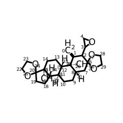 C=C1C(C2CO2)C2(C[C@@H]3CC[C@@H]4[C@H](CC[C@@]5(C)[C@H]4CCC54OCCO4)[C@@]13C)OCCO2